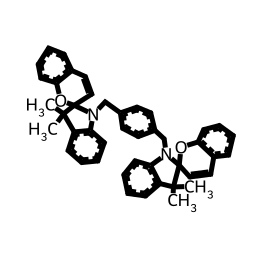 CC1(C)c2ccccc2N(Cc2ccc(CN3c4ccccc4C(C)(C)C34C=Cc3ccccc3O4)cc2)C12C=Cc1ccccc1O2